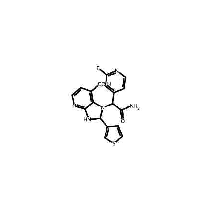 NC(=O)C(c1ccnc(F)c1)N1c2c(C(=O)O)ccnc2NC1c1ccsc1